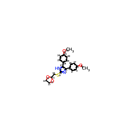 COc1ccc(-c2nc(SCC3OCCO3)[nH]c2-c2ccc(OC)cc2)cc1